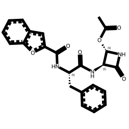 CC(=O)O[C@@H]1NC(=O)[C@H]1NC(=O)[C@H](Cc1ccccc1)NC(=O)c1cc2ccccc2o1